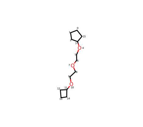 C1CCC(OCCOCCOC2CCC2)C1